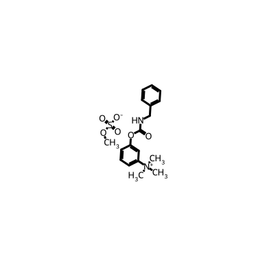 COS(=O)(=O)[O-].C[N+](C)(C)c1cccc(OC(=O)NCc2ccccc2)c1